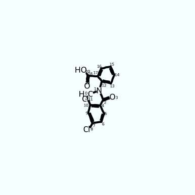 CN(C(=O)c1ccc(Cl)cc1Cl)c1ccccc1C(=O)O